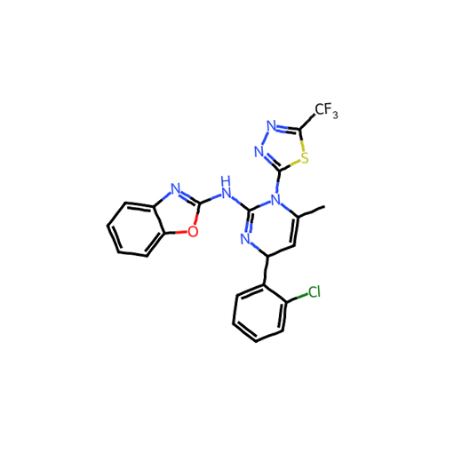 CC1=CC(c2ccccc2Cl)N=C(Nc2nc3ccccc3o2)N1c1nnc(C(F)(F)F)s1